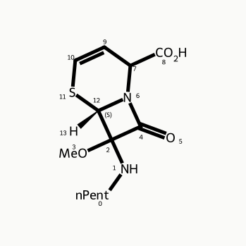 CCCCCNC1(OC)C(=O)N2C(C(=O)O)C=CS[C@H]21